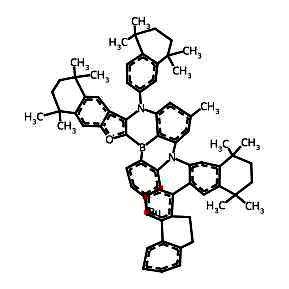 Cc1cc2c3c(c1)N(c1ccc4c(c1)C(C)(C)CCC4(C)C)c1c(oc4cc5c(cc14)C(C)(C)CCC5(C)C)B3c1ccc(C(C)(C)C)cc1N2c1cc2c(cc1-c1cccc3c1CCc1ccccc1-3)C(C)(C)CCC2(C)C